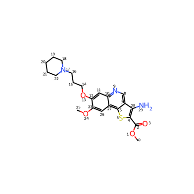 COC(=O)c1sc2c(cnc3cc(OCCCN4CCCCC4)c(OC)cc32)c1N